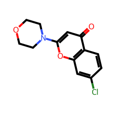 O=c1cc(N2CCOCC2)oc2cc(Cl)ccc12